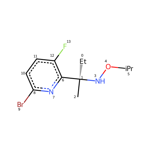 CC[C@@](C)(NOC(C)C)c1nc(Br)ccc1F